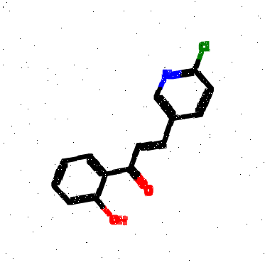 O=C(C=Cc1ccc(Cl)nc1)c1ccccc1O